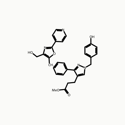 COC(=O)CCc1cn(Cc2ccc(O)cc2)nc1-c1ccccc1.Cc1oc(-c2ccncc2)nc1CO